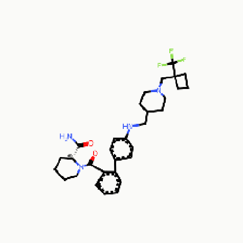 NC(=O)[C@H]1CCCCN1C(=O)c1ccccc1-c1ccc(NCC2CCN(CC3(C(F)(F)F)CCC3)CC2)cc1